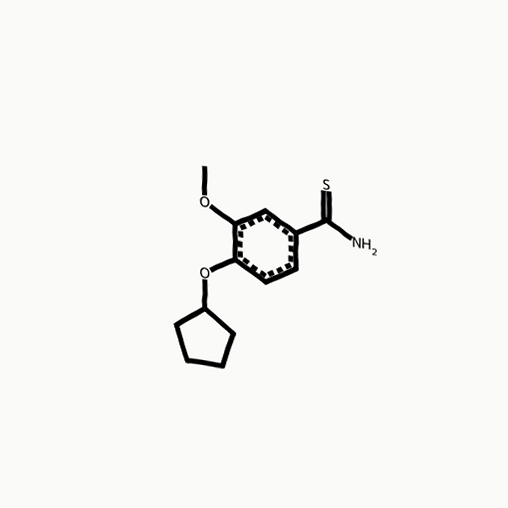 COc1cc(C(N)=S)ccc1OC1CCCC1